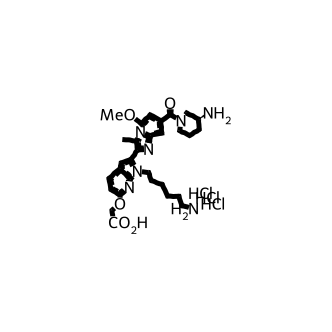 COc1cc(C(=O)N2CCC[C@@H](N)C2)cc2nc(-c3cc4ccc(OCC(=O)O)nc4n3CCCCCCN)c(C)n12.Cl.Cl.Cl